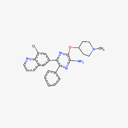 CN1CCC(Oc2nc(-c3cc(Cl)c4ncccc4c3)c(-c3ccccc3)nc2N)CC1